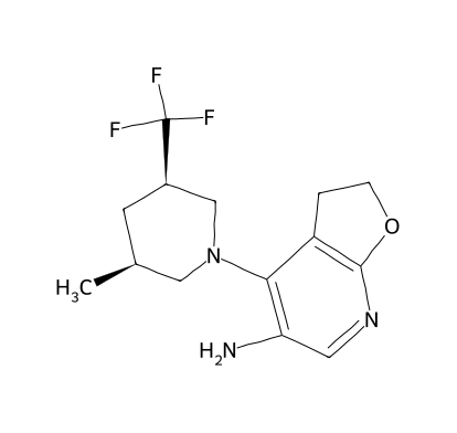 C[C@H]1C[C@@H](C(F)(F)F)CN(c2c(N)cnc3c2CCO3)C1